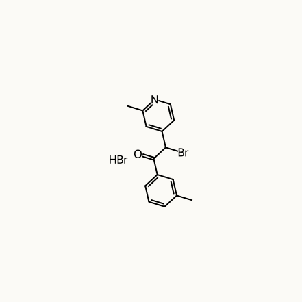 Br.Cc1cccc(C(=O)C(Br)c2ccnc(C)c2)c1